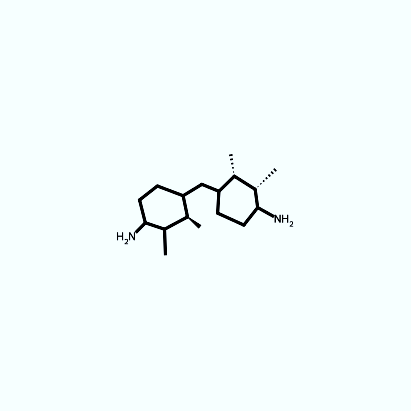 CC1C(N)CCC(CC2CCC(N)[C@@H](C)[C@H]2C)[C@H]1C